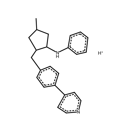 CC1CC(Cc2ccc(-c3ccncc3)cc2)C(Nc2ccccc2)C1.[H+]